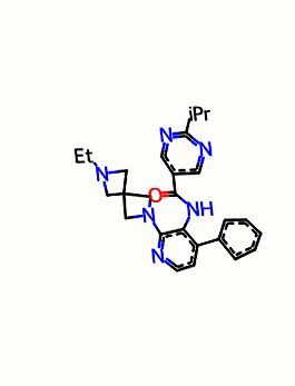 CCN1CC2(C1)CN(c1nccc(-c3ccccc3)c1NC(=O)c1cnc(C(C)C)nc1)C2